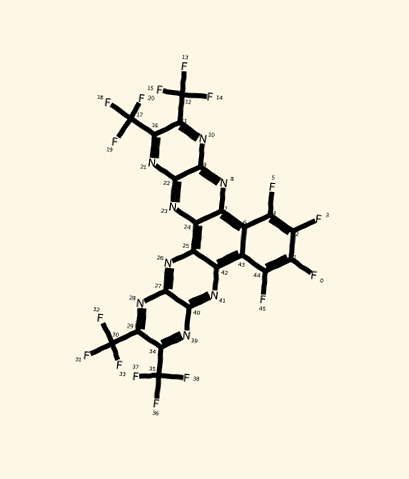 Fc1c(F)c(F)c2c3nc4nc(C(F)(F)F)c(C(F)(F)F)nc4nc3c3nc4nc(C(F)(F)F)c(C(F)(F)F)nc4nc3c2c1F